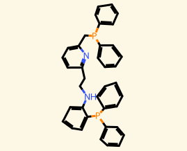 c1ccc(P(Cc2cccc(CCNc3ccccc3P(c3ccccc3)c3ccccc3)n2)c2ccccc2)cc1